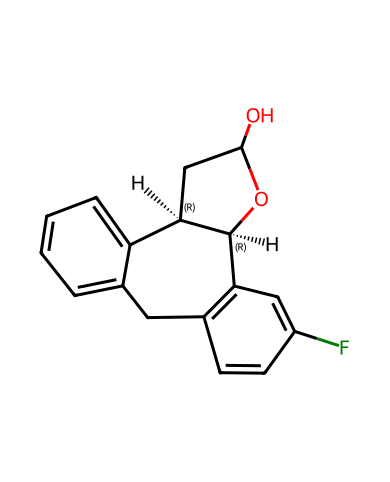 OC1C[C@@H]2c3ccccc3Cc3ccc(F)cc3[C@@H]2O1